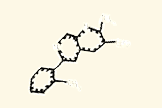 Cc1ccccc1-c1cc2cc(C=O)c(N)nc2cn1